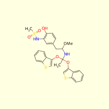 COC(Cc1ccc(O)c(NS(C)(=O)=O)c1)NC(C)(Oc1csc2ccccc12)Oc1csc2ccccc12